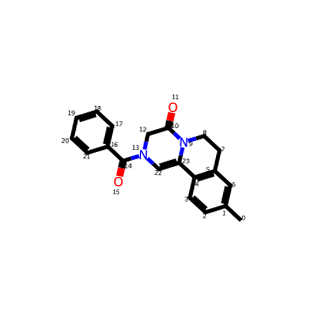 Cc1ccc2c(c1)CCN1C(=O)CN(C(=O)c3ccccc3)C=C21